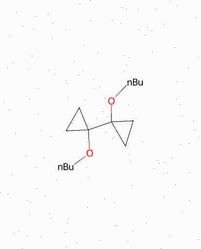 CCCCOC1(C2(OCCCC)CC2)CC1